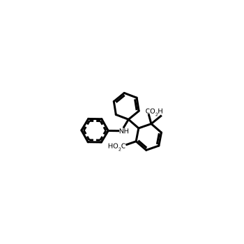 CC1(C(=O)O)C=CC=C(C(=O)O)C1C1(Nc2ccccc2)C=CC=CC1